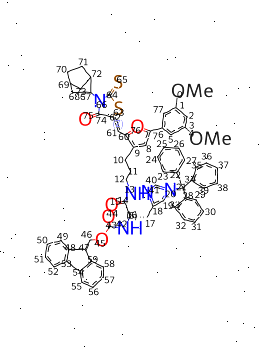 COc1cc(OC)cc(-c2cc(CCCNC(=O)[C@H](Cc3cn(C(c4ccccc4)(c4ccccc4)c4ccccc4)cn3)NC(=O)OCC3c4ccccc4-c4ccccc43)c(/C=C3\SC(=S)N(C4CC5CCC4C5)C3=O)o2)c1